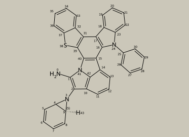 Nc1c(N2C3C=CC=C[C@@H]32)c2cccc3c4c5c(c6ccccc6n5-c5ccccc5)c5c6ccccc6sc5c4n1c23